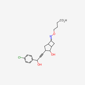 O=C(O)CCCON=C1CC2C1CC(C#CC(O)c1ccc(Cl)cc1)C2O